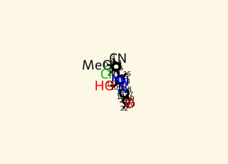 COc1c(C#N)ccc(-c2nc(CO)c(N3CCC4(CC3)CO[C@@H](C)C4)nc2C)c1Cl